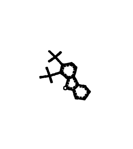 CC(C)(C)c1ccc2c(oc3ccccc32)c1C(C)(C)C